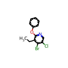 CCc1c(Oc2ccccc2)ncc(Cl)c1Br